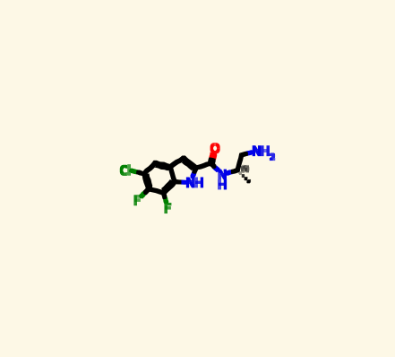 C[C@@H](CN)NC(=O)c1cc2cc(Cl)c(F)c(F)c2[nH]1